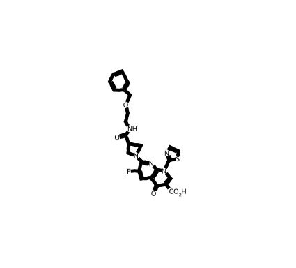 O=C(O)c1cn(-c2nccs2)c2nc(N3CC(C(=O)NCCOCc4ccccc4)C3)c(F)cc2c1=O